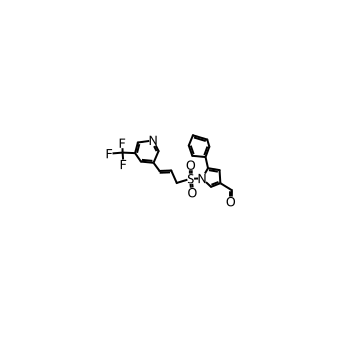 O=Cc1cc(-c2ccccc2)n(S(=O)(=O)CC=Cc2cncc(C(F)(F)F)c2)c1